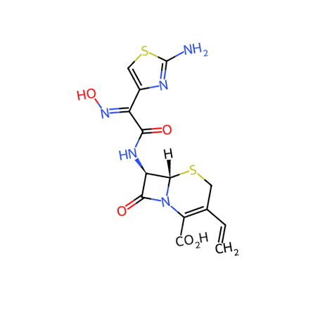 C=CC1=C(C(=O)O)N2C(=O)[C@@H](NC(=O)C(=NO)c3csc(N)n3)[C@@H]2SC1